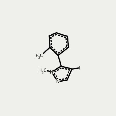 Cn1ncc(I)c1-c1ccccc1C(F)(F)F